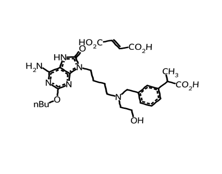 CCCCOc1nc(N)c2[nH]c(=O)n(CCCCN(CCO)Cc3cccc(C(C)C(=O)O)c3)c2n1.O=C(O)C=CC(=O)O